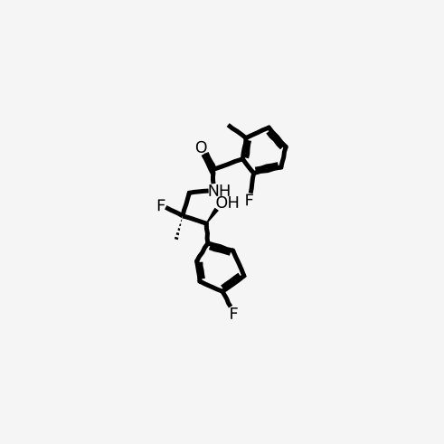 Cc1cccc(F)c1C(=O)NC[C@](C)(F)[C@@H](O)c1ccc(F)cc1